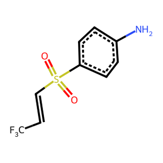 Nc1ccc(S(=O)(=O)/C=C/C(F)(F)F)cc1